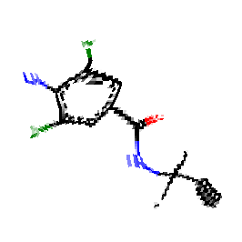 C#CC(C)(CC)NC(=O)c1cc(Br)c(N)c(Br)c1